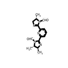 C[C@@H]1N=C(c2cccc(C3=NC[C@H](C)N3C=O)n2)N(C=O)[C@H]1C